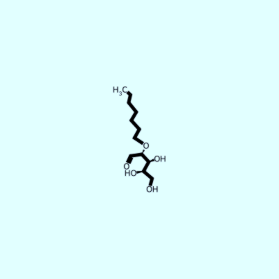 CCCCCCCO[C@@H](C=O)[C@@H](O)[C@H](O)CO